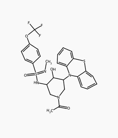 CN=S(=O)(NC1CN(C(C)=O)CC(N2c3ccccc3Sc3ccccc32)C1O)c1ccc(OC(F)(F)F)cc1